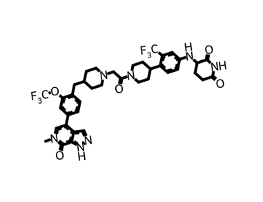 Cn1cc(-c2ccc(CC3CCN(CC(=O)N4CCC(c5ccc(NC6CCC(=O)NC6=O)cc5C(F)(F)F)CC4)CC3)c(OC(F)(F)F)c2)c2cn[nH]c2c1=O